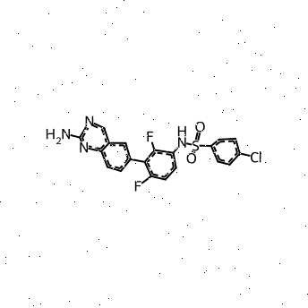 Nc1ncc2cc(-c3c(F)ccc(NS(=O)(=O)c4ccc(Cl)cc4)c3F)ccc2n1